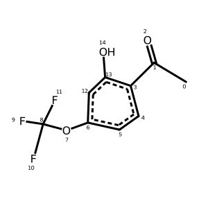 CC(=O)c1ccc(OC(F)(F)F)cc1O